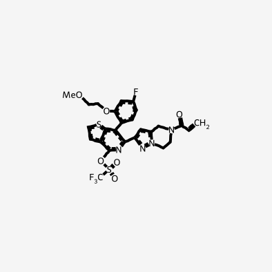 C=CC(=O)N1CCn2nc(-c3nc(OS(=O)(=O)C(F)(F)F)c4ccsc4c3-c3ccc(F)cc3OCCOC)cc2C1